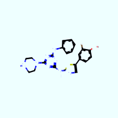 COc1ccc(C2=CNC(Nc3nc(Nc4ccccc4)nc(N4CCN(C)CC4)n3)S2)cc1Br